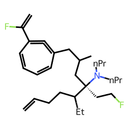 C=CCCC(CC)[C@@](CCF)(CC(C)CC1=C=C(C(=C)F)C=CC=C1)N(CCC)CCC